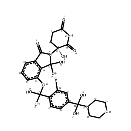 O=C1CC[C@](O)(N2C(=O)c3cccc(OC(O)(O)c4ccc(C(O)(O)N5CCOCC5)cc4F)c3C2(O)O)C(=O)N1